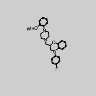 COc1ccccc1N1CCN(CC2CN(c3ccc(F)cc3)c3ccccc3O2)CC1